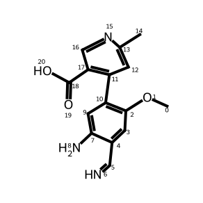 COc1cc(C=N)c(N)cc1-c1cc(C)ncc1C(=O)O